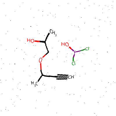 C#CC(C)OCC(C)O.OP(Cl)Cl